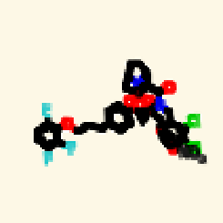 O=C(C1=C(Oc2ccc(CCCOc3c(F)ccc(F)c3F)cc2)CC2CCC1N2C(=O)OCCCCO[N+](=O)[O-])N(Cc1cccc(Cl)c1Cl)C1CC1